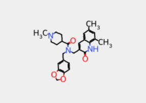 Cc1cc(C)c2[nH]c(=O)c(CN(Cc3ccc4c(c3)OCO4)C(=O)C3CCN(C)CC3)cc2c1